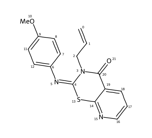 C=CCn1c(=Nc2ccc(OC)cc2)sc2ncccc2c1=O